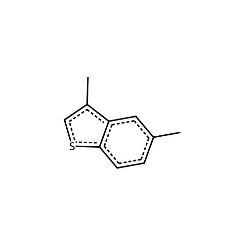 Cc1ccc2scc(C)c2c1